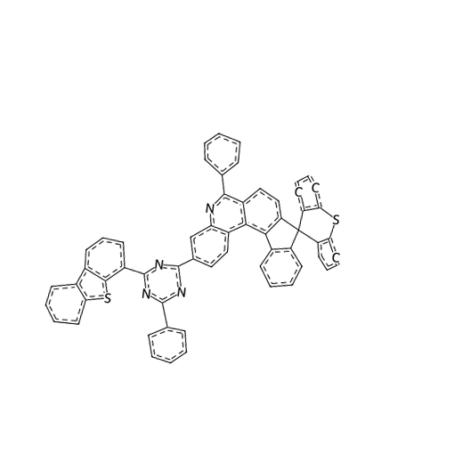 c1ccc(-c2nc(-c3ccc4c(c3)nc(-c3ccccc3)c3ccc5c(c34)-c3ccccc3C53c4ccccc4Sc4ccccc43)nc(-c3cccc4c3sc3ccccc34)n2)cc1